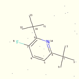 CC(C)(C)c1ccc(F)c(C(C)(C)C)n1